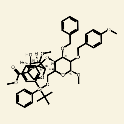 COC(=O)C12CO[C@H](C(OC)[C@@H]1O)[C@H](O[C@@H]1C(CO[Si](c3ccccc3)(c3ccccc3)C(C)(C)C)O[C@H](OC)C(OCc3ccc(OC)cc3)[C@@H]1OCc1ccccc1)O2